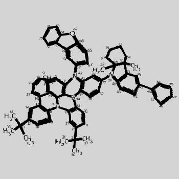 Cc1cc2c3c(c1)N(c1ccc(C(C)(C)C)cc1-c1ccccc1)c1cc(C(C)(C)C)ccc1B3c1ccc(N3c4ccc(-c5ccccc5)cc4C4(C)CCCCC34C)cc1N2c1ccc2oc3ccccc3c2c1